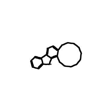 [CH]1c2ccccc2-c2ccc3c(c21)CCCCCCCCCC3